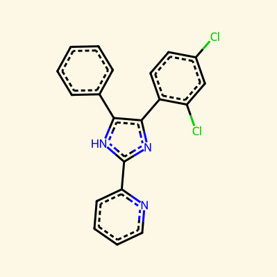 Clc1ccc(-c2nc(-c3ccccn3)[nH]c2-c2ccccc2)c(Cl)c1